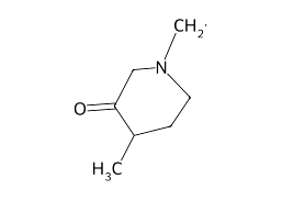 [CH2]N1CCC(C)C(=O)C1